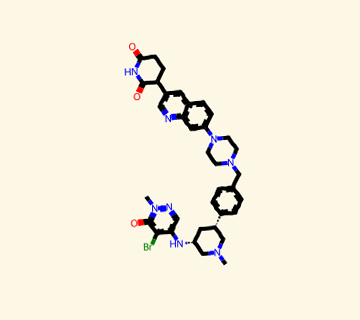 CN1C[C@H](Nc2cnn(C)c(=O)c2Br)C[C@H](c2ccc(CN3CCN(c4ccc5cc(C6CCC(=O)NC6=O)cnc5c4)CC3)cc2)C1